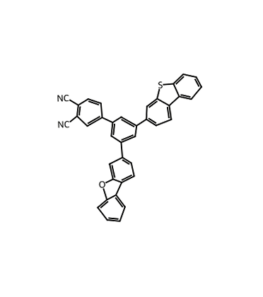 N#Cc1ccc(-c2cc(-c3ccc4c(c3)oc3ccccc34)cc(-c3ccc4c(c3)sc3ccccc34)c2)cc1C#N